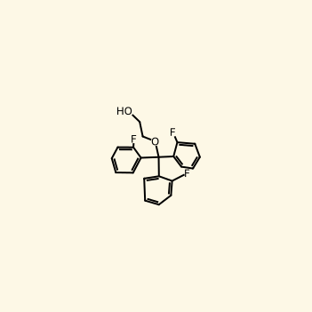 OCCOC(c1ccccc1F)(c1ccccc1F)c1ccccc1F